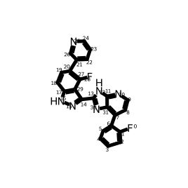 Fc1ccccc1-c1ccnc2[nH]c(-c3n[nH]c4ccc(-c5cccnc5)c(F)c34)nc12